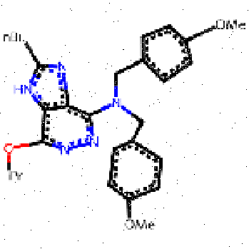 CCCCc1nc2c(N(Cc3ccc(OC)cc3)Cc3ccc(OC)cc3)nnc(OC(C)C)c2[nH]1